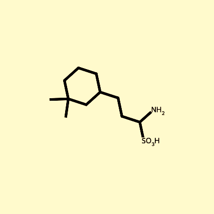 CC1(C)CCCC(CCC(N)S(=O)(=O)O)C1